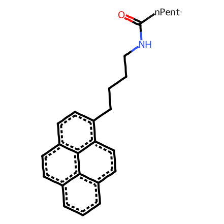 [CH2]CCC[CH]C(=O)NCCCCc1ccc2ccc3cccc4ccc1c2c34